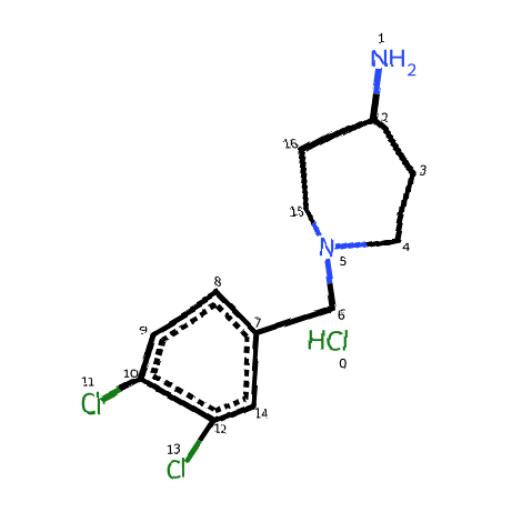 Cl.NC1CCN(Cc2ccc(Cl)c(Cl)c2)CC1